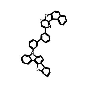 c1cc(-c2cccc(-n3c4ccccc4c4c5sc6ccccc6c5ccc43)c2)cc(-c2cnc3oc4ccc5ccccc5c4c3n2)c1